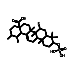 CC1CCC2(C(=O)O)CCC3(C)C(=CCC4C5(C)CCC(OP(=O)(O)O)C(C)(C)C5CC(F)C43C)C2C1C